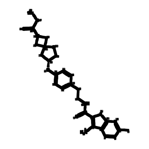 Cc1ccc2c(N)c(C(=O)NCCc3ccc(O[C@H]4COC5(C4)CN(C(=O)OC(C)(C)C)C5)cc3)sc2n1